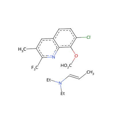 CC=CN(CC)CC.Cc1cc2ccc(Cl)c(OC(=O)O)c2nc1C(F)(F)F